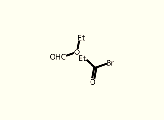 CCC(=O)Br.CCOC=O